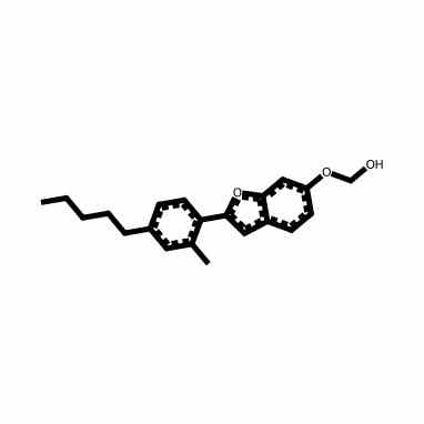 CCCCCc1ccc(-c2cc3ccc(OCO)cc3o2)c(C)c1